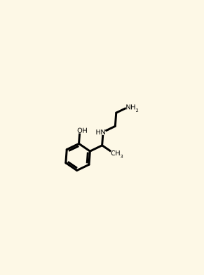 CC(NCCN)c1ccccc1O